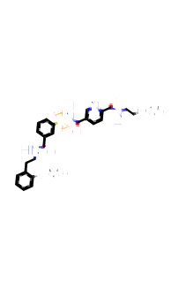 COCCNC(=O)c1ccc(C(=O)NS(=O)(=O)c2cccc(C(=O)NCCc3ccccc3OC)c2)cn1